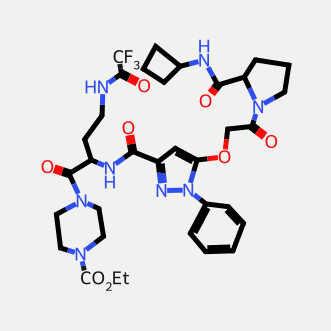 CCOC(=O)N1CCN(C(=O)C(CCNC(=O)C(F)(F)F)NC(=O)c2cc(OCC(=O)N3CCCC3C(=O)NC3CCC3)n(-c3ccccc3)n2)CC1